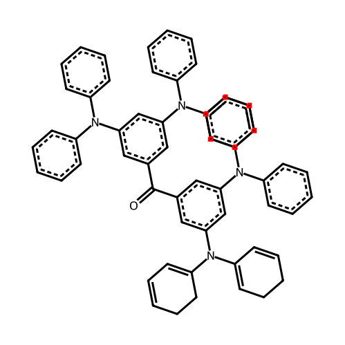 O=C(c1cc(N(C2=CCCC=C2)C2=CC=CCC2)cc(N(c2ccccc2)c2ccccc2)c1)c1cc(N(C2=CC=CCC2)c2ccccc2)cc(N(c2ccccc2)c2ccccc2)c1